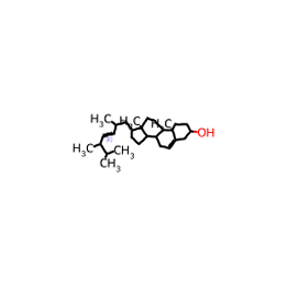 CC(/C=C/C(C)C(C)C)CC1CCC2C3CC=C4CC(O)CCC4(C)C3CCC12C